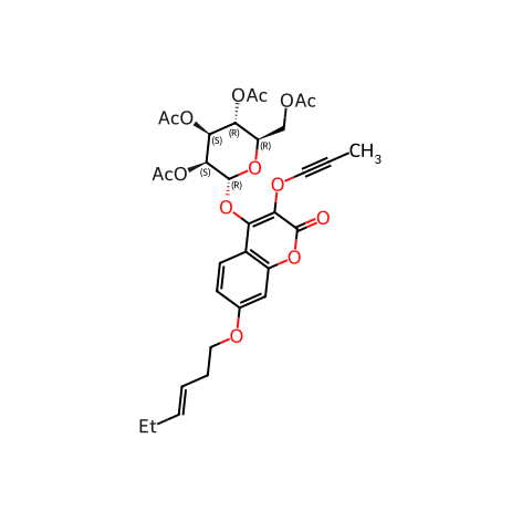 CC#COc1c(O[C@H]2O[C@H](COC(C)=O)[C@@H](OC(C)=O)[C@H](OC(C)=O)[C@@H]2OC(C)=O)c2ccc(OCCC=CCC)cc2oc1=O